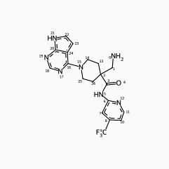 NCC1(C(=O)Nc2cc(C(F)(F)F)ccn2)CCN(c2ncnc3[nH]ccc23)CC1